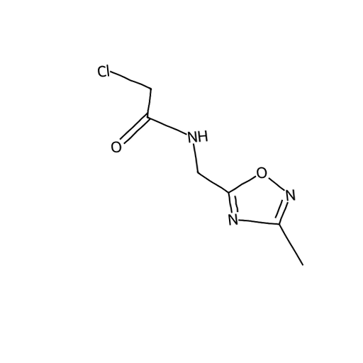 Cc1noc(CNC(=O)CCl)n1